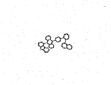 c1ccc(-c2cccc3ccccc23)c(-c2ccc(-c3c4ccccc4c(-c4cccc5oc6ccccc6c45)c4ccccc34)cc2)c1